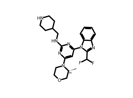 C[C@@H]1COCCN1c1cc(-n2c(C(F)F)nc3ccccc32)nc(NCC2CCNCC2)n1